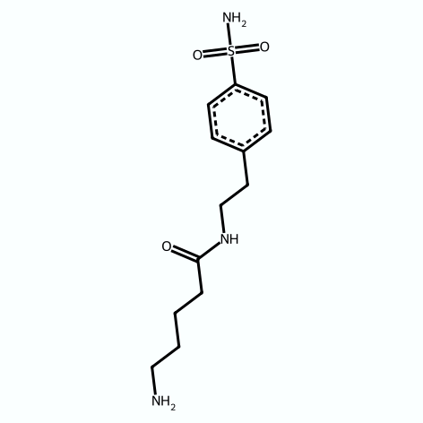 NCCCCC(=O)NCCc1ccc(S(N)(=O)=O)cc1